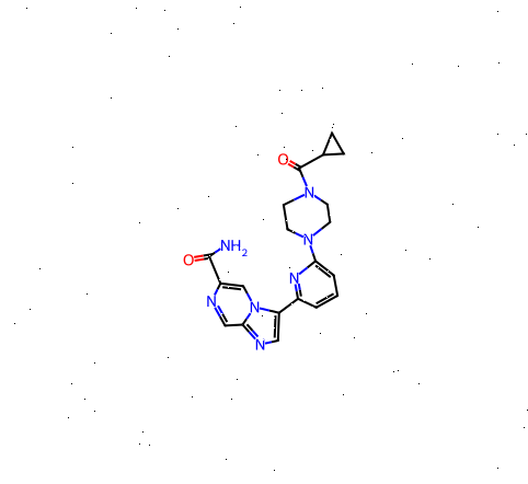 NC(=O)c1cn2c(-c3cccc(N4CCN(C(=O)C5CC5)CC4)n3)cnc2cn1